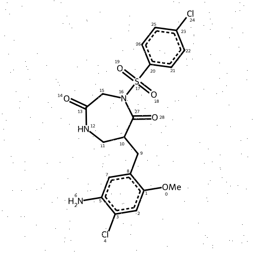 COc1cc(Cl)c(N)cc1CC1CNC(=O)CN(S(=O)(=O)c2ccc(Cl)cc2)C1=O